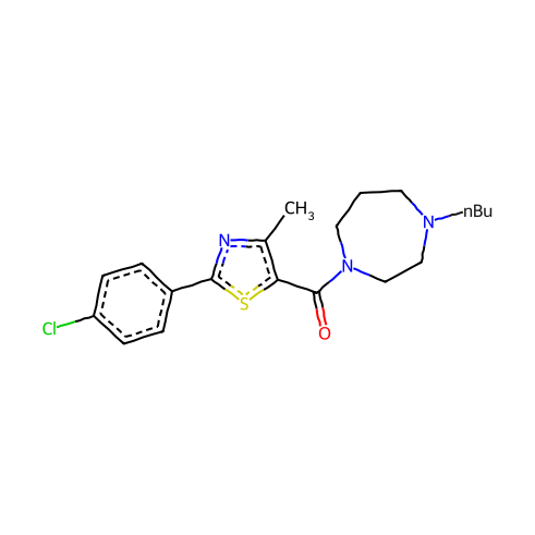 CCCCN1CCCN(C(=O)c2sc(-c3ccc(Cl)cc3)nc2C)CC1